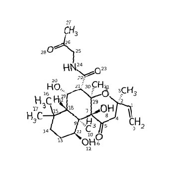 C=C[C@@]1(C)CC(=O)[C@]2(O)[C@@]3(C)[C@@H](O)CCC(C)(C)[C@@H]3[C@H](O)[C@H](C(=O)NCC(C)=O)[C@@]2(C)O1